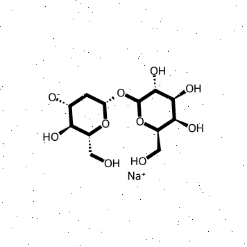 [Na+].[O-][C@@H]1C[C@H](OC2O[C@H](CO)[C@H](O)[C@H](O)[C@H]2O)O[C@H](CO)[C@H]1O